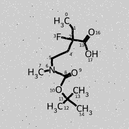 CCC(F)(CCN(C)C(=O)OC(C)(C)C)C(=O)O